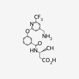 C#C[C@@H](CC(=O)O)NC(=O)c1cccc(Oc2cc(CN)cc(C(F)(F)F)n2)c1